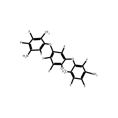 Nc1c(F)c(F)c(C(F)(F)F)c(Oc2c(F)c(F)c(C(F)(F)F)c(Oc3c(F)c(N)c(F)c(F)c3C(F)(F)F)c2F)c1F